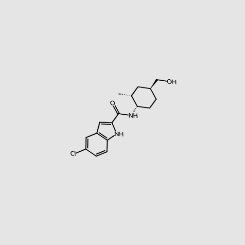 C[C@@H]1C[C@@H](CO)CC[C@@H]1NC(=O)c1cc2cc(Cl)ccc2[nH]1